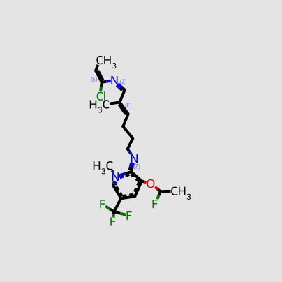 C\C=C(Cl)/N=C\C(C)=C\CCC/N=c1/c(OC(C)F)cc(C(F)(F)F)cn1C